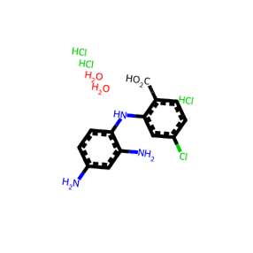 Cl.Cl.Cl.Nc1ccc(Nc2cc(Cl)ccc2C(=O)O)c(N)c1.O.O